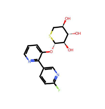 O[C@@H]1[C@@H](O)[C@H](Oc2cccnc2-c2ccc(F)nc2)SC[C@H]1O